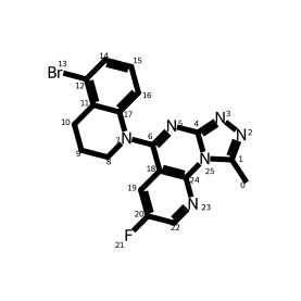 Cc1nnc2nc(N3CCCc4c(Br)cccc43)c3cc(F)cnc3n12